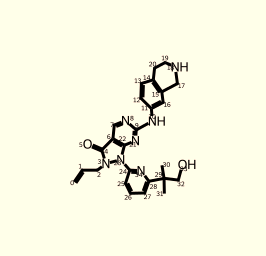 C=CCn1c(=O)c2cnc(Nc3ccc4c(c3)CNCC4)nc2n1-c1cccc(C(C)(C)CO)n1